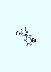 O=C1CCC[C@@H](c2cccc(Br)c2)C1